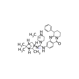 CC1[C@@H](/N=C(/Nc2ccc3c(=O)n4c(nc3c2)C(c2ccccc2)CCC4)N2CCN[C@@H](C)C2)C[C@@H]2C[C@H]1C2(C)C